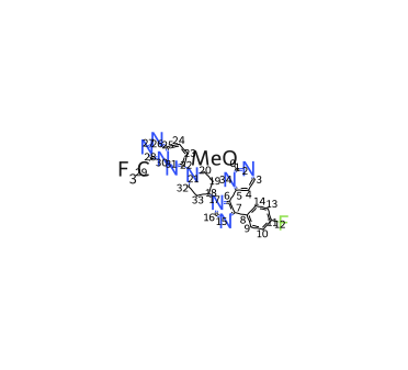 COc1nccc(-c2c(-c3ccc(F)cc3)ncn2C2CCN(c3ccc4nnc(C(F)(F)F)n4n3)CC2)n1